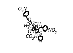 CC(C)(OC(=O)OCc1ccc([N+](=O)[O-])cc1)[C@@H]1C(=O)N2C(C(=O)O)=C(Sc3ccncc3)C(Cc3ccc([N+](=O)[O-])cc3)[C@@H]12